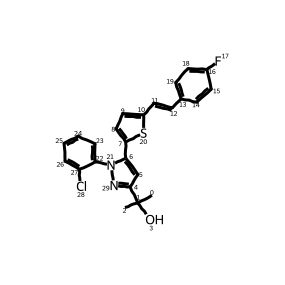 CC(C)(O)c1cc(-c2ccc(/C=C/c3ccc(F)cc3)s2)n(-c2ccccc2Cl)n1